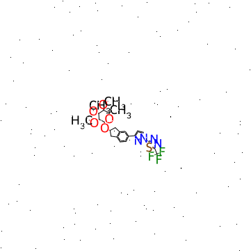 CO[C@@H]1[C@@H](OC)[C@H](C)O[C@@H](OC2Cc3ccc(-c4ccn(-c5nnc(C(F)(F)F)s5)n4)cc3C2)[C@@H]1OC